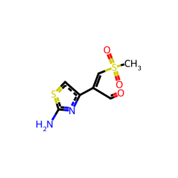 CS(=O)(=O)C=C(C=O)c1csc(N)n1